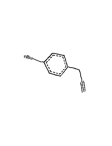 [C]#CCc1ccc(CCCC)cc1